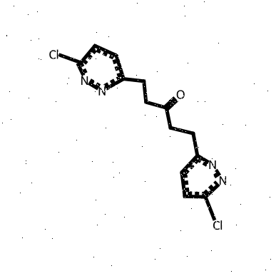 O=C(CCc1ccc(Cl)nn1)CCc1ccc(Cl)nn1